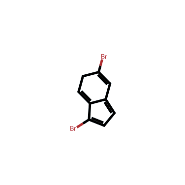 BrC1=CC2=CC=C(Br)C2=CC1